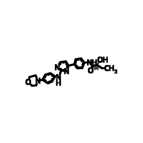 CC[C@@H](O)C(=O)Nc1ccc(-c2ccnc(Nc3ccc(N4CCOCC4)cc3)n2)cc1